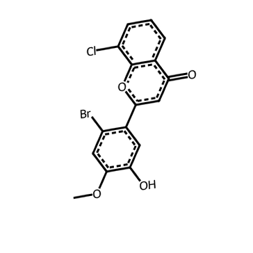 COc1cc(Br)c(-c2cc(=O)c3cccc(Cl)c3o2)cc1O